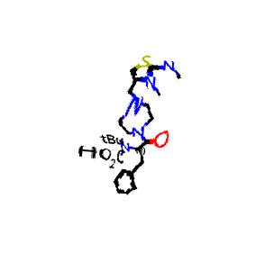 CN=c1scc(CN2CCN(C(=O)[C@@H](Cc3ccccc3)N(C(=O)O)C(C)(C)C)CC2)n1C